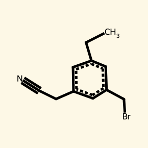 CCc1cc(CBr)cc(CC#N)c1